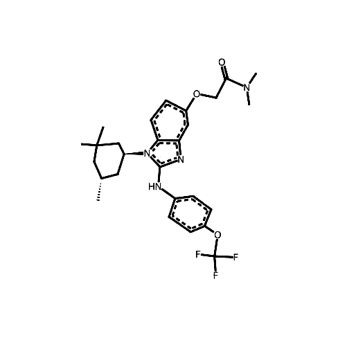 C[C@H]1C[C@H](n2c(Nc3ccc(OC(F)(F)F)cc3)nc3cc(OCC(=O)N(C)C)ccc32)CC(C)(C)C1